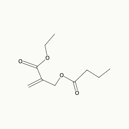 C=C(COC(=O)CCC)C(=O)OCC